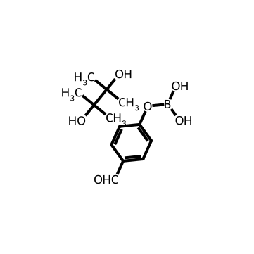 CC(C)(O)C(C)(C)O.O=Cc1ccc(OB(O)O)cc1